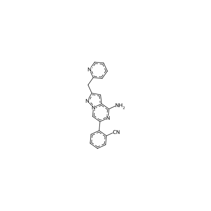 N#Cc1ccccc1-c1cn2nc(Cc3ccccn3)cc2c(N)n1